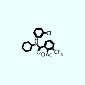 CC(=O)Oc1c(C(=O)NC2CCCCC2)cccc1C(F)(F)F.Clc1ccccc1